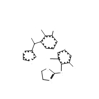 Cc1cccc(C(C)c2cnc[nH]2)c1C.Fc1cccc(Br)c1NC1=NCCN1